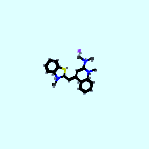 CCN(CC)C1=CC(=CC2Sc3ccccc3N2CC)c2ccccc2N1C.I